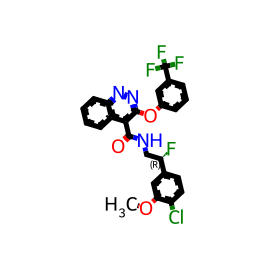 COc1cc([C@@H](F)CNC(=O)c2c(Oc3cccc(C(F)(F)F)c3)nnc3ccccc23)ccc1Cl